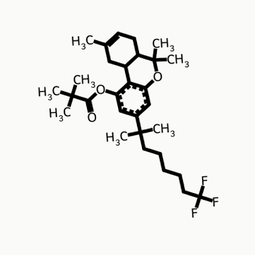 CC1=CCC2C(C1)c1c(OC(=O)C(C)(C)C)cc(C(C)(C)CCCCCC(F)(F)F)cc1OC2(C)C